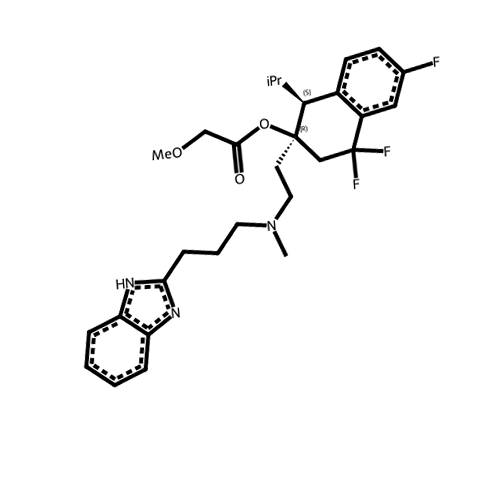 COCC(=O)O[C@]1(CCN(C)CCCc2nc3ccccc3[nH]2)CC(F)(F)c2cc(F)ccc2[C@@H]1C(C)C